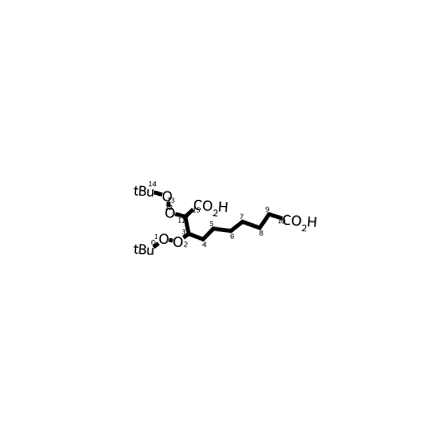 CC(C)(C)OOC(CCCCCCC(=O)O)C(OOC(C)(C)C)C(=O)O